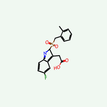 Cc1ccccc1CS(=O)(=O)C1N=c2ccc(F)cc2=C1CC(=O)O